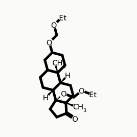 CCOCOC1CC[C@@]2(C)C(CC[C@@H]3[C@H]2CC[C@]2(C)C(=O)CC[C@@]32OCOCC)C1